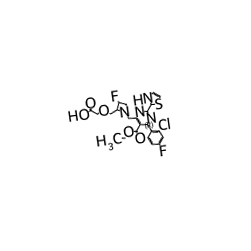 CCOC(=O)C1=C(CN2CC(F)C2COCC(=O)O)NC(c2nccs2)=N[C@H]1c1ccc(F)cc1Cl